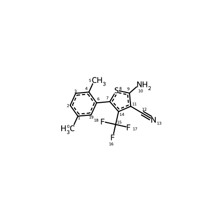 Cc1ccc(C)c(-c2sc(N)c(C#N)c2C(F)(F)F)c1